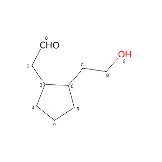 O=CCC1CCCC1CCO